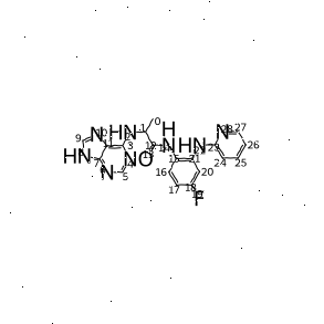 CC(Nc1ncnc2[nH]cnc12)C(=O)Nc1ccc(F)cc1Nc1ccccn1